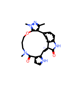 Cc1nn(C)c2c1-c1ccc3c(c1)/C(=C/c1[nH]ccc1C(=O)N(C)CCCO2)C(=O)N3